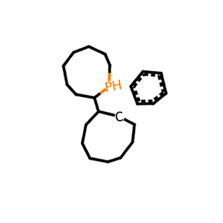 C1CCCCC(C2CCCCCCCP2)CCC1.c1ccccc1